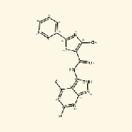 Cc1cc(C)c2c(NC(=O)c3sc(-c4cccnc4)nc3Cl)[nH]nc2n1